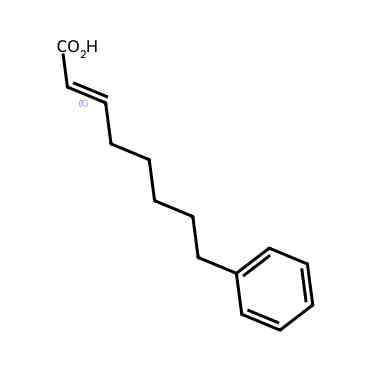 O=C(O)/C=C/CCCCCc1ccccc1